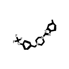 Cc1ccc2nc(N3CCN(Cc4ccc(OC(F)(F)F)cc4)CC3)sc2c1